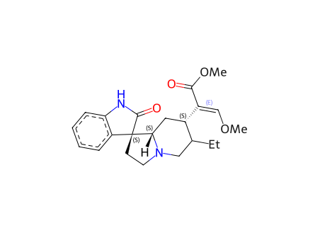 CCC1CN2CC[C@@]3(C(=O)Nc4ccccc43)[C@@H]2C[C@@H]1/C(=C\OC)C(=O)OC